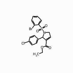 CCOC(=O)C1=CCN(S(=O)(=O)c2ccccc2Br)C1c1ccc(Cl)cc1